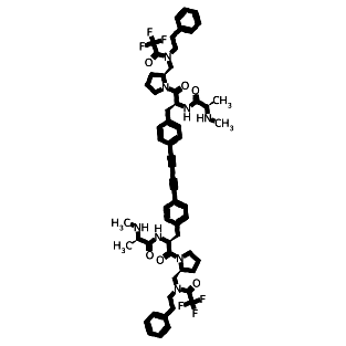 CN[C@@H](C)C(=O)N[C@@H](Cc1ccc(C#CC#Cc2ccc(C[C@H](NC(=O)[C@H](C)NC)C(=O)N3CCC[C@H]3CN(CCc3ccccc3)C(=O)C(F)(F)F)cc2)cc1)C(=O)N1CCC[C@H]1CN(CCc1ccccc1)C(=O)C(F)(F)F